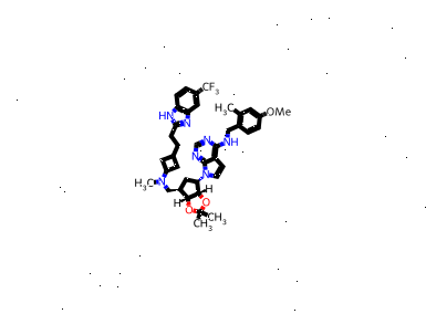 COc1ccc(CNc2ncnc3c2ccn3[C@@H]2C[C@H](CN(C)C3CC(CCc4nc5cc(C(F)(F)F)ccc5[nH]4)C3)[C@H]3OC(C)(C)O[C@H]32)c(C)c1